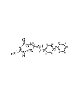 CCCc1cc(=O)n2nc(NCc3ccc(-c4ccccc4)cc3)nc2[nH]1